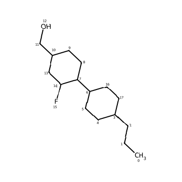 CCCC1CCC(C2CCC(CO)CC2F)CC1